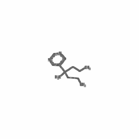 CCCC(C)(CCC)c1cncnc1